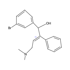 CN(C)C/C=C(\c1ccccc1)C(O)c1cccc(Br)c1